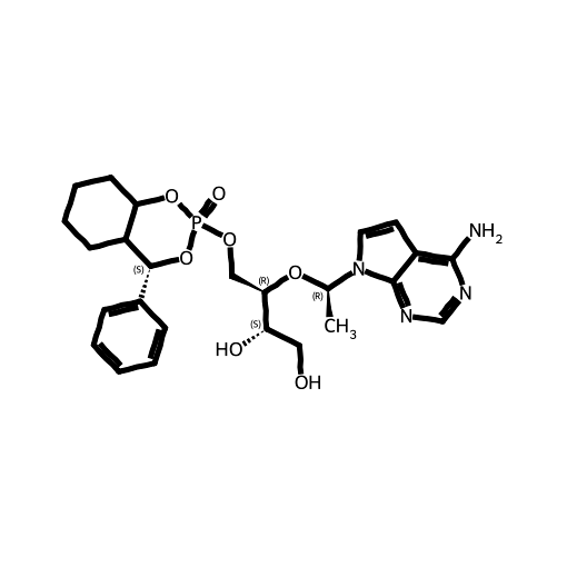 C[C@@H](O[C@H](COP1(=O)OC2CCCCC2[C@@H](c2ccccc2)O1)[C@@H](O)CO)n1ccc2c(N)ncnc21